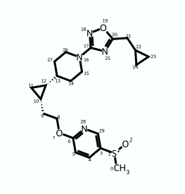 C[S+]([O-])c1ccc(OCC[C@@H]2C[C@@H]2C2CCN(c3noc(CC4CC4)n3)CC2)nc1